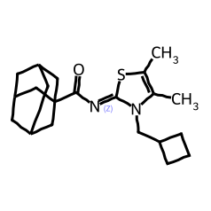 Cc1s/c(=N\C(=O)C23CC4CC(CC(C4)C2)C3)n(CC2CCC2)c1C